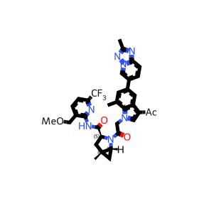 COCc1ccc(C(F)(F)F)nc1NC(=O)[C@@H]1C[C@@]2(C)C[C@H]2N1C(=O)Cn1cc(C(C)=O)c2cc(-c3ccc4nc(C)nn4c3)cc(C)c21